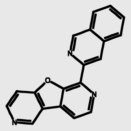 c1ccc2cc(-c3nccc4c3oc3ccncc34)ncc2c1